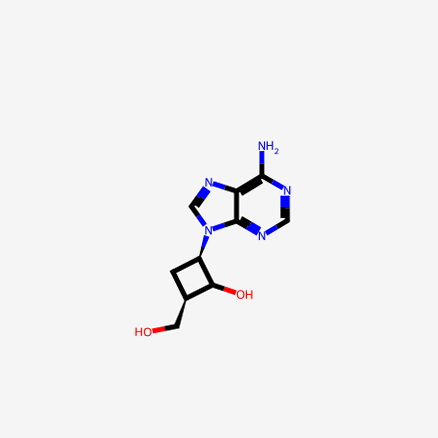 Nc1ncnc2c1ncn2[C@@H]1C[C@H](CO)C1O